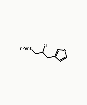 CCCCCCC(Cl)Cc1ccsc1